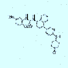 COc1ccc(C(C)(C)C)cc1NC(=O)Nc1ccc(-c2ccc(NC3CC[S+]([O-])CC3)nc2)c2ccccc12